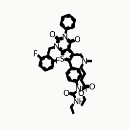 CCNC(=O)Nc1ccc(-c2sc3c(c2CN(C)CCCC(=O)OCC)c(=O)n(-c2ccccc2)c(=O)n3Cc2c(F)cccc2F)cc1